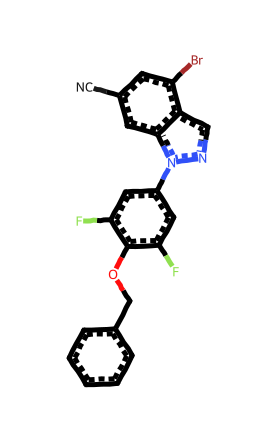 N#Cc1cc(Br)c2cnn(-c3cc(F)c(OCc4ccccc4)c(F)c3)c2c1